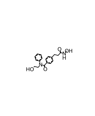 O=C(CCc1ccc(C(=O)N(CCO)c2ccccc2)cc1)NO